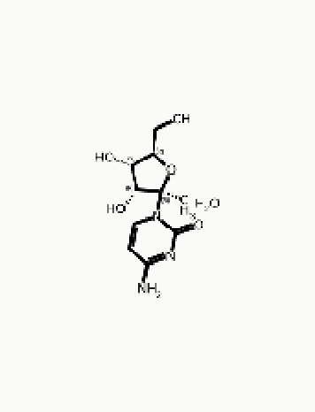 C[C@@]1(n2ccc(N)nc2=O)O[C@H](CO)[C@@H](O)[C@H]1O.O